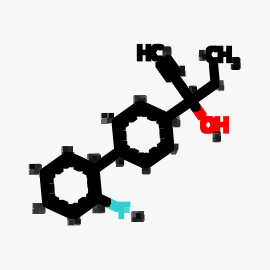 C#CC(O)(CC)c1ccc(-c2ccccc2F)cc1